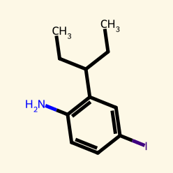 CCC(CC)c1cc(I)ccc1N